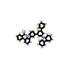 O=c1c2ccccc2c2cccc3c4cc(-c5cc(-n6c7ccccc7c7ccccc76)cc6c5sc5ccccc56)ccc4n1c23